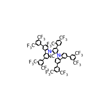 N#Cc1c(-n2c3ccc(-c4cc(C(F)(F)F)cc(C(F)(F)F)c4)cc3c3cc(-c4cc(C(F)(F)F)cc(C(F)(F)F)c4)ccc32)cc(-c2ccc(C(F)(F)F)cc2C(F)(F)F)cc1-n1c2ccc(-c3cc(C(F)(F)F)cc(C(F)(F)F)c3)cc2c2cc(-c3cc(C(F)(F)F)cc(C(F)(F)F)c3)ccc21